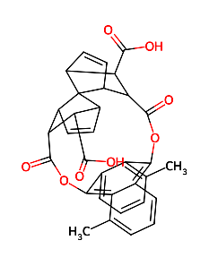 Cc1cccc2c3c4c(C)cccc4c(c12)OC(=O)C1C(C(=O)O)C2C=CC1C21C2C=CC1C(C(=O)O3)C2C(=O)O